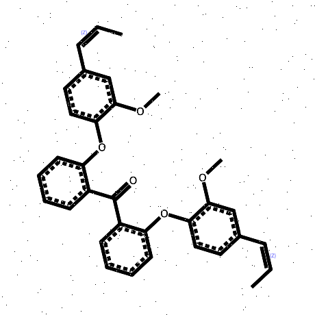 C/C=C\c1ccc(Oc2ccccc2C(=O)c2ccccc2Oc2ccc(/C=C\C)cc2OC)c(OC)c1